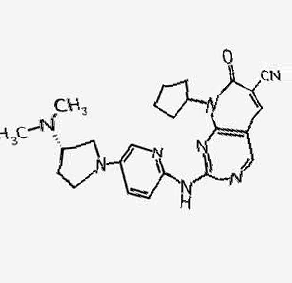 CN(C)[C@H]1CCN(c2ccc(Nc3ncc4cc(C#N)c(=O)n(C5CCCC5)c4n3)nc2)C1